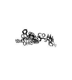 Cn1nnnc1SCC1=C(C(=O)O)N2C(=O)[C@@](NC=O)(NC(=O)C(NC(=O)OC(C)(C)C)c3ccccc3)[C@@H]2SC1